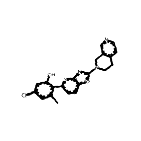 Cc1cc(Cl)cc(O)c1-c1ccc2oc(N3CCc4ccncc4C3)nc2n1